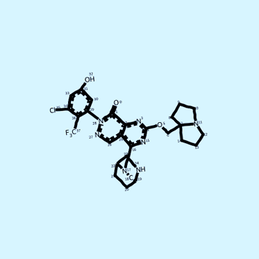 O=c1c2nc(OCC34CCCN3CCC4)nc(N3CC4CCC3CN4)c2cnn1-c1cc(O)cc(Cl)c1C(F)(F)F